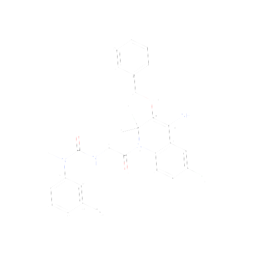 CN(C(=O)NCC(=O)N1c2ccc(Cl)cc2C(N)=C(OCc2ccccc2)C1(C)Cl)c1cccc([N+](=O)[O-])c1